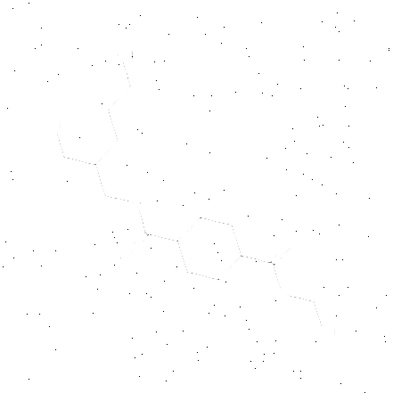 CCCCC(CC)COC(=O)C1CCC(C(=O)OCC)CC1